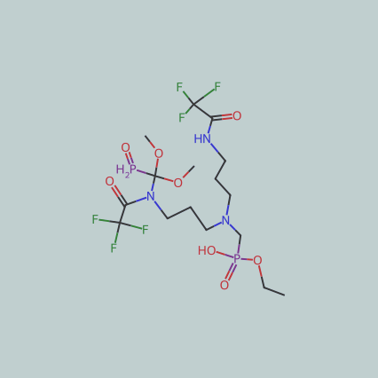 CCOP(=O)(O)CN(CCCNC(=O)C(F)(F)F)CCCN(C(=O)C(F)(F)F)C(OC)(OC)[PH2]=O